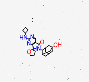 O=C(NC1C2CC3CC1CC(O)(C3)C2)c1cnc(NC2CCC2)nc1[C@H]1CCCO1